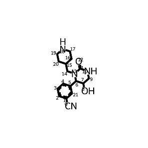 N#Cc1cccc(C2C(O)CNC(=O)N2CC2CCNCC2)c1